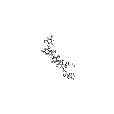 COC(=O)NC(CCC=CC(=O)N(C)C)C(=O)Nc1cccn(Cc2cc3cc(F)cc(OCc4ccc(F)cc4F)c3[nH]2)c1=O